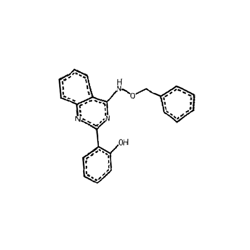 Oc1ccccc1-c1nc(NOCc2ccccc2)c2ccccc2n1